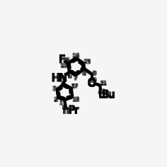 CCCc1ccc(Nc2cc(COCC(C)(C)C)ccc2F)cc1